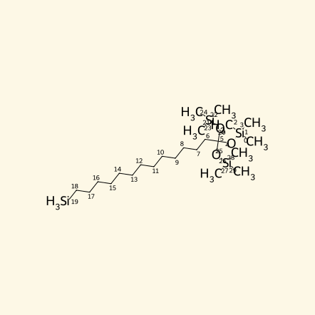 C[Si](C)(C)OC(CCCCCCCCCCCCC[SiH3])(O[Si](C)(C)C)O[Si](C)(C)C